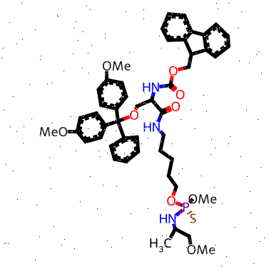 COCC(C)NP(=S)(OC)OCCCCCNC(=O)C(COC(c1ccccc1)(c1ccc(OC)cc1)c1ccc(OC)cc1)NC(=O)OCC1c2ccccc2-c2ccccc21